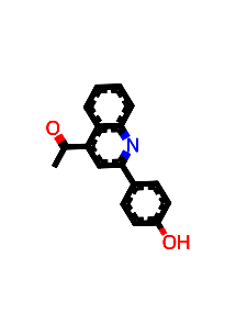 CC(=O)c1cc(-c2ccc(O)cc2)nc2ccccc12